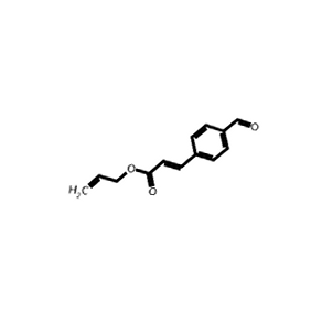 C=CCOC(=O)C=Cc1ccc(C=O)cc1